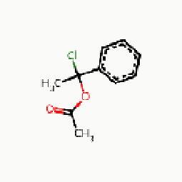 CC(=O)OC(C)(Cl)c1ccccc1